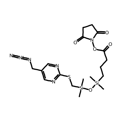 C[Si](C)(CCCC(=O)ON1C(=O)CCC1=O)O[Si](C)(C)CSc1ncc(CN=[N+]=[N-])cn1